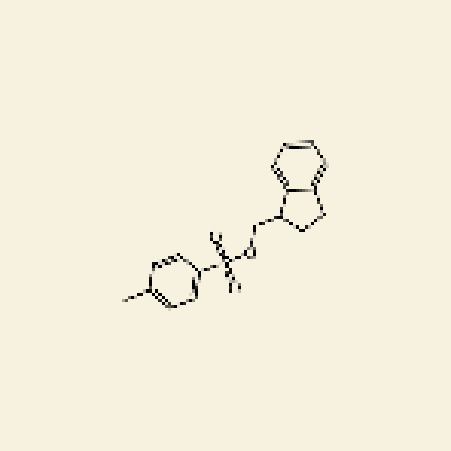 Cc1ccc(S(=O)(=O)OCC2CCc3ccccc32)cc1